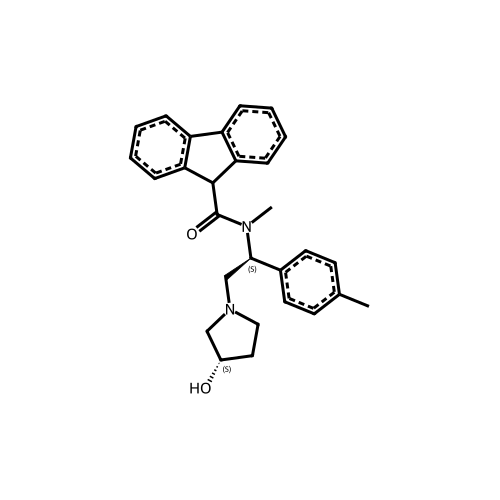 Cc1ccc([C@@H](CN2CC[C@H](O)C2)N(C)C(=O)C2c3ccccc3-c3ccccc32)cc1